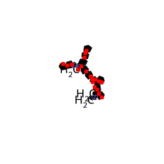 C=C/C=c1\c(=C)n(-c2ccc(-n3c4ccccc4c4cc(-c5ccc(-c6ccc(N(/C(C=C)=C/C=C/c7ccc(-c8ccccc8)cc7)c7ccc(-c8ccc(-c9ccccc9)cc8)cc7)cc6)cc5)ccc43)cc2)c2ccccc12